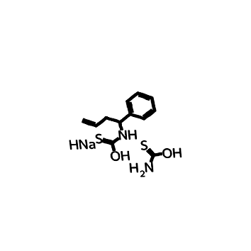 C=CCC(NC(O)=S)c1ccccc1.NC(O)=S.[NaH]